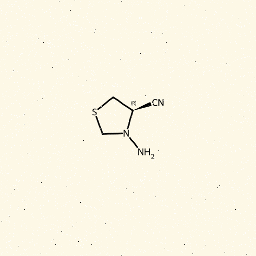 N#C[C@@H]1CSCN1N